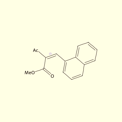 COC(=O)/C(=C\c1cccc2ccccc12)C(C)=O